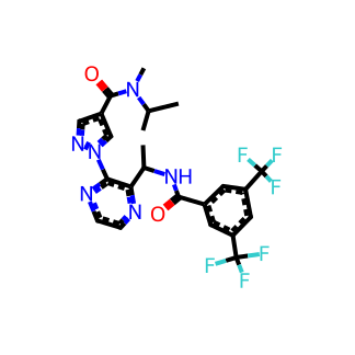 CC(NC(=O)c1cc(C(F)(F)F)cc(C(F)(F)F)c1)c1nccnc1-n1cc(C(=O)N(C)C(C)C)cn1